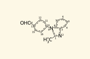 Cc1nc2ccccc2n1-c1ccc(C=O)cc1